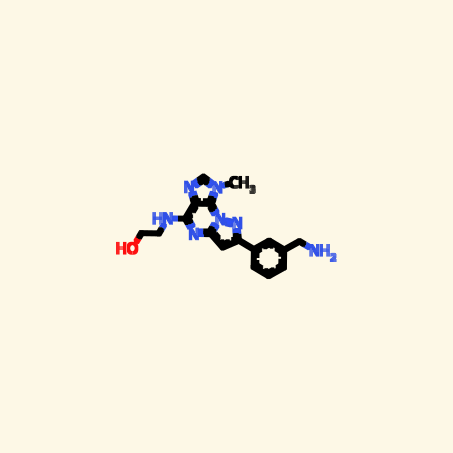 Cn1cnc2c(NCCO)nc3cc(-c4cccc(CN)c4)nn3c21